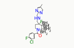 BC1(B)N(C(=O)c2ccc(F)c(Cl)c2)CCC(F)(CNCc2ncc(C)cn2)C1(B)B